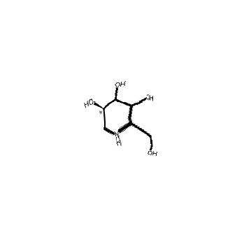 OCC1NC[C@@H](O)C(O)C1O